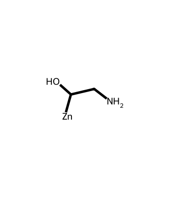 NC[CH](O)[Zn]